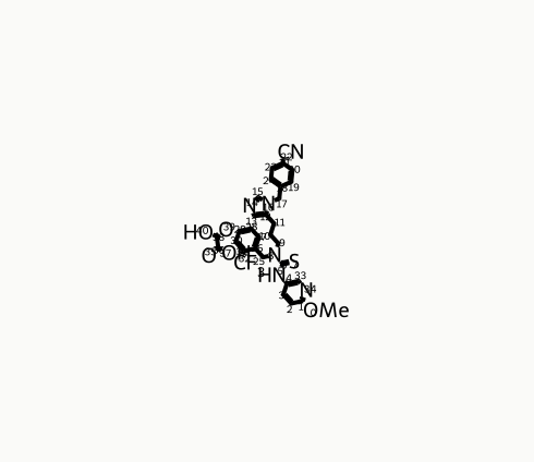 COc1ccc(NC(=S)N(CCCc2cncn2Cc2ccc(C#N)cc2)Cc2ccccc2C(F)(F)F)cn1.O=C(O)C(=O)O